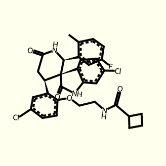 Cc1ccc(F)cc1[C@@H]1NC(=O)C[C@H](c2cc(Cl)ccc2OCCNC(=O)C2CCC2)[C@@]12C(=O)Nc1cc(Cl)ccc12